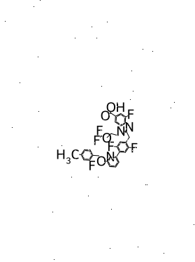 Cc1ccc(COc2cccc(-c3cc(F)c(Cc4nc5c(F)cc(C(=O)O)cc5n4CCOC(F)F)cc3F)n2)c(F)c1